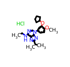 CCNc1ncn(-c2ccc(OC)c(OC3CCCC3)c2)c2nc(C(C)C)nc1-2.Cl